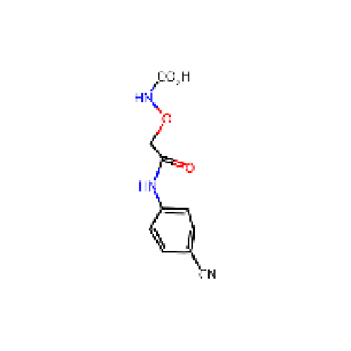 N#Cc1ccc(NC(=O)CONC(=O)O)cc1